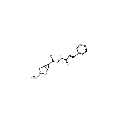 O=C(/C=C/c1cccnc1)NCC(F)C1C2CN(C(=O)O)CC21